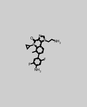 Cc1c(-c2cc(F)c(N)cc2F)ccc2c3c(ncn3CCN)c(=O)n(C3CC3)c12